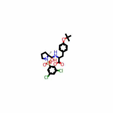 CC(C)(C)Oc1ccc(CC(NC(=O)[C@]2(C)CCCN2S(=O)(=O)c2cc(Cl)cc(Cl)c2)C(=O)O)cc1